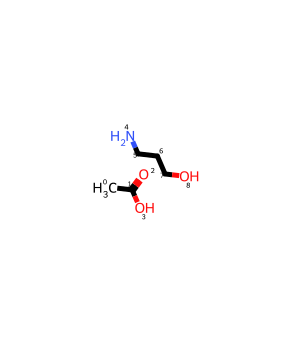 CC(=O)O.NCCCO